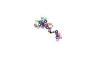 COc1cc(C(=O)N2CCC3(C[C@@H]3C#Cc3cccc4c3CN([C@@H]3CCC(=O)NC3=O)C4=O)C2)ccc1NC(=O)[C@@H]1N[C@@H](CC(C)(C)C)[C@@]2(CNc3cc(Cl)ccc32)[C@H]1c1cccc(Cl)c1F